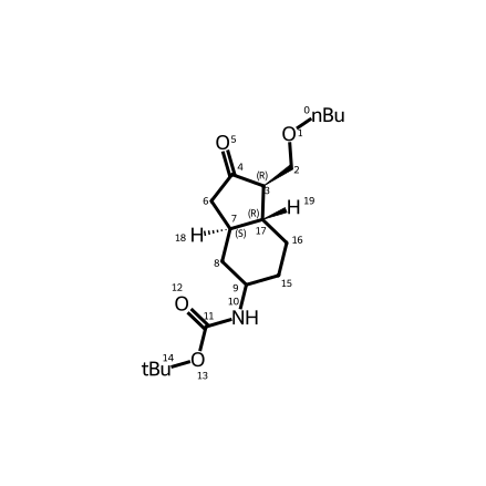 CCCCOC[C@@H]1C(=O)C[C@@H]2CC(NC(=O)OC(C)(C)C)CC[C@H]21